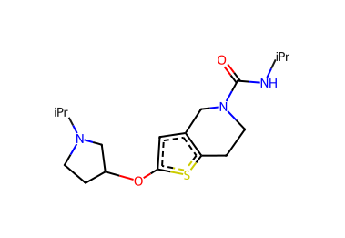 CC(C)NC(=O)N1CCc2sc(OC3CCN(C(C)C)C3)cc2C1